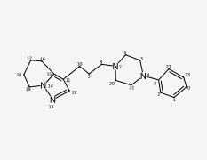 c1ccc(N2CCN(CCCc3cnn4c3CCCC4)CC2)cc1